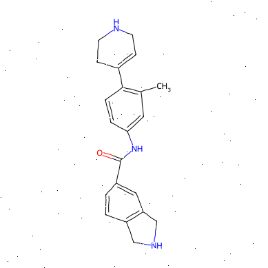 Cc1cc(NC(=O)c2ccc3c(c2)CNC3)ccc1C1=CCNCC1